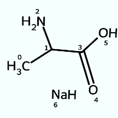 CC(N)C(=O)O.[NaH]